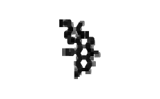 CC(NC(=O)c1c(O)c2cc(F)ccc2n(C)c1=O)C(=O)O